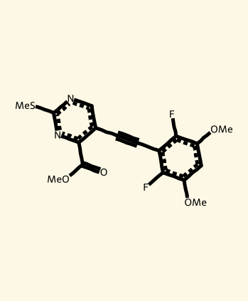 COC(=O)c1nc(SC)ncc1C#Cc1c(F)c(OC)cc(OC)c1F